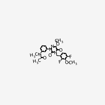 COc1c(F)ccc(Cn2c(=O)c(OC)nn(-c3cccc(N(C)C(C)=O)c3)c2=O)c1F